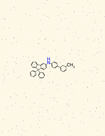 CC1C=CC=C(c2ccc(Nc3ccc4c(c3)-c3ccccc3C4(c3ccccc3)c3ccccc3)cc2)C1